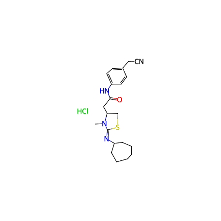 CN1C(=NC2CCCCCC2)SCC1CC(=O)Nc1ccc(CC#N)cc1.Cl